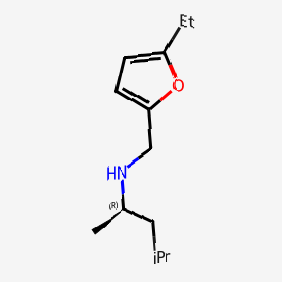 CCc1ccc(CN[C@H](C)CC(C)C)o1